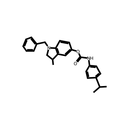 CC(C)c1ccc(NC(=O)Oc2ccc3c(c2)C(C)CN3Cc2ccccc2)cc1